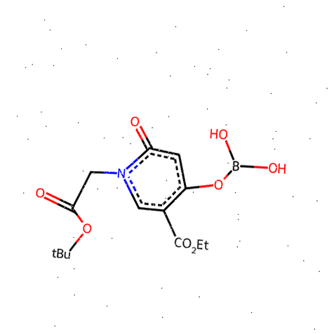 CCOC(=O)c1cn(CC(=O)OC(C)(C)C)c(=O)cc1OB(O)O